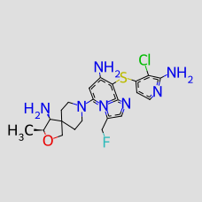 C[C@@H]1OCC2(CCN(c3cc(N)c(Sc4ccnc(N)c4Cl)c4ncc(CF)n34)CC2)[C@@H]1N